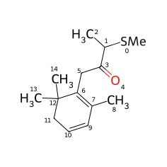 CSC(C)C(=O)CC1=C(C)C=CCC1(C)C